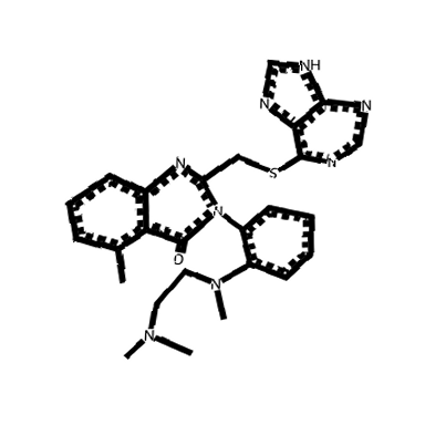 Cc1cccc2nc(CSc3ncnc4[nH]cnc34)n(-c3ccccc3N(C)CCN(C)C)c(=O)c12